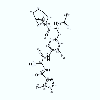 CCC(=O)NC(Cc1ccc(NC(=O)[C@H](C)NC(=O)c2ccnn2CC)c(F)c1)C(=O)N1CC2CCC(C1)N2C